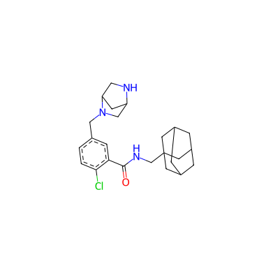 O=C(NCC12CC3CC(CC(C3)C1)C2)c1cc(CN2CC3CC2CN3)ccc1Cl